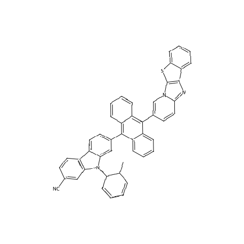 CC1C=CC=CC1n1c2cc(C#N)ccc2c2ccc(-c3c4ccccc4c(-c4ccc5nc6c7ccccc7sc6n5c4)c4ccccc34)cc21